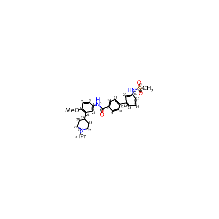 COc1ccc(NC(=O)c2ccc(-c3cccc(NS(C)(=O)=O)c3)cc2)cc1C1CCN(C(C)C)CC1